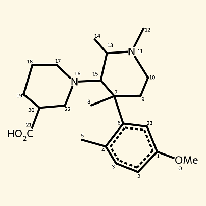 COc1ccc(C)c(C2(C)CCN(C)C(C)C2N2CCCC(C(=O)O)C2)c1